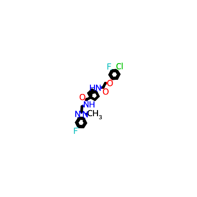 Cn1c(CNC(=O)C23CCC(NC(=O)COc4ccc(Cl)c(F)c4)(CC2)C3)nc2cc(F)ccc21